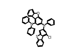 Clc1cc(N(c2ccccc2)c2cc(N(c3ccccc3)c3ccccc3)c3c(c2)oc2ccccc23)cc2sc3ccccc3c12